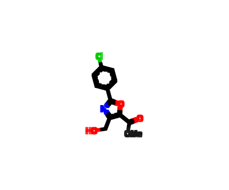 COC(=O)c1oc(-c2ccc(Cl)cc2)nc1CO